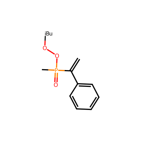 C=C(c1ccccc1)P(C)(=O)OOC(C)CC